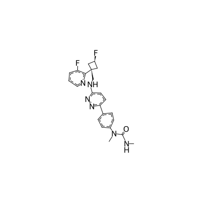 CNC(=O)N(C)c1ccc(-c2ccc(NC[C@]3(c4ncccc4F)C[C@H](F)C3)nn2)cc1